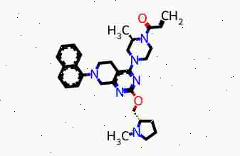 C=CC(=O)N1CCN(c2nc(OC[C@@H]3CCCN3C)nc3c2CCN(c2cccc4ccccc24)C3)C[C@H]1C